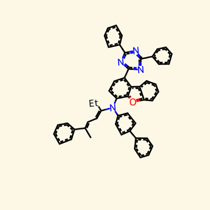 CC/C(=C\C=C(/C)c1ccccc1)N(c1ccc(-c2ccccc2)cc1)c1ccc(-c2nc(-c3ccccc3)nc(-c3ccccc3)n2)c2c1oc1ccccc12